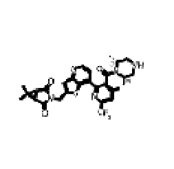 Cc1cc(C(F)(F)F)nc(-c2ccnc3cc(CN4C(=O)C5C(C4=O)C5(C)C)sc23)c1C(=O)N1[C@H](C)CNC[C@H]1C